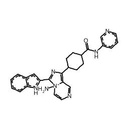 N[N+]12C=CN=CC1=C(C1CCC(C(=O)Nc3cccnc3)CC1)N=C2c1cc2ccccc2[nH]1